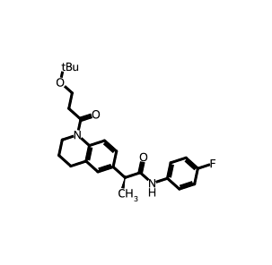 C[C@H](C(=O)Nc1ccc(F)cc1)c1ccc2c(c1)CCCN2C(=O)CCOC(C)(C)C